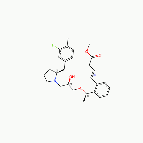 COC(=O)C/C=C/c1ccccc1[C@@H](C)OC[C@H](O)CN1CCC[C@H]1Cc1ccc(C)c(F)c1